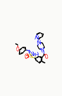 CCOc1ccc(N[S+]([O-])c2ccc(C)c(C(=O)N3CCN(c4ccccn4)CC3)c2)cc1